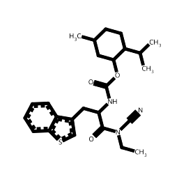 CCN(C#N)C(=O)C(Cc1csc2ccccc12)NC(=O)OC1CC(C)CCC1C(C)C